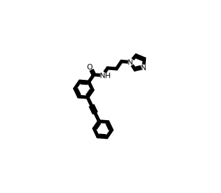 O=C(NCCCn1ccnc1)c1cccc(C#Cc2ccccc2)c1